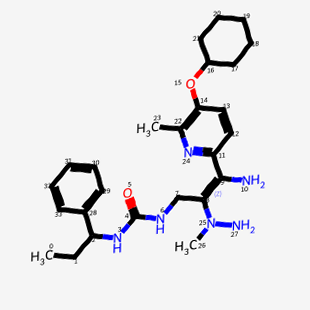 CCC(NC(=O)NC/C(=C(/N)c1ccc(OC2CCCCC2)c(C)n1)N(C)N)c1ccccc1